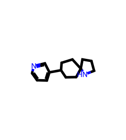 c1cncc(C2CCC3(CCCN3)CC2)c1